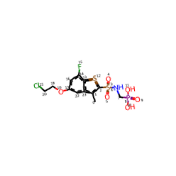 Cc1c(S(=O)(=O)NCP(=O)(O)O)sc2c(F)cc(OCCCl)cc12